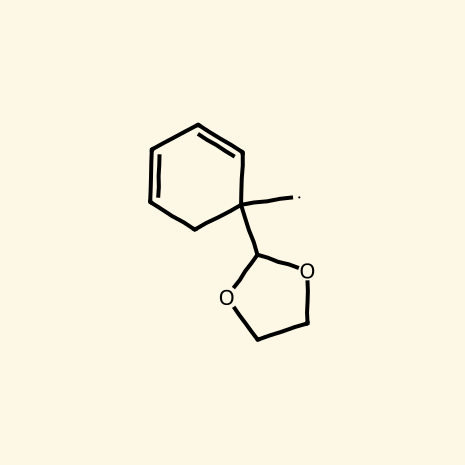 [CH2]C1(C2OCCO2)C=CC=CC1